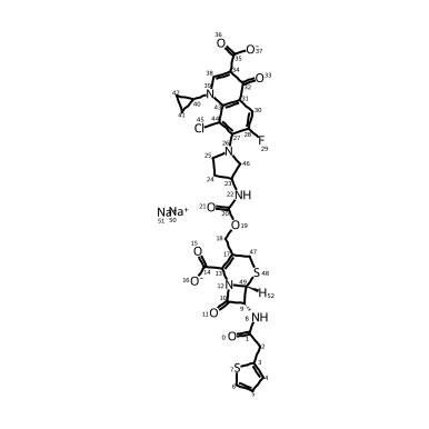 O=C(Cc1cccs1)N[C@@H]1C(=O)N2C(C(=O)[O-])=C(COC(=O)NC3CCN(c4c(F)cc5c(=O)c(C(=O)[O-])cn(C6CC6)c5c4Cl)C3)CS[C@H]12.[Na+].[Na+]